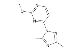 COc1nccc(-n2nc(C)nc2C)n1